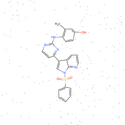 Cc1cc(O)ccc1Nc1nccc(-c2cn(S(=O)(=O)c3ccccc3)c3ncccc23)n1